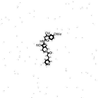 COc1cccc(C(C)CC(=O)Nc2sc3c(c2C#N)CCN(C(=O)CCc2cccnc2)C3)c1